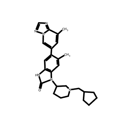 Cc1cc2c(cc1-c1cc(C)c3ncnn3c1)[nH]c(=O)n2C1CCCN(CC2CCCC2)C1